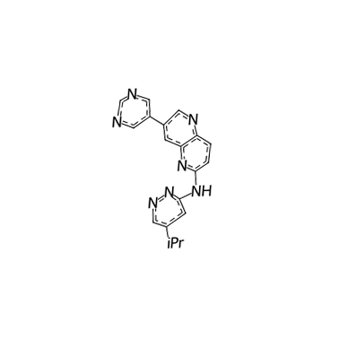 CC(C)c1cnnc(Nc2ccc3ncc(-c4cncnc4)cc3n2)c1